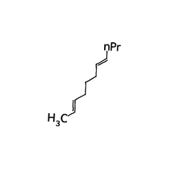 CC=CCCCC=CCCC